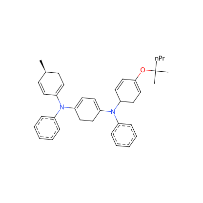 CCCC(C)(C)OC1=CCC(N(C2=CC=C(N(C3=CC[C@H](C)C=C3)c3ccccc3)CC2)c2ccccc2)C=C1